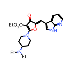 CCOC(=O)C1=C(N2CCC(N(CC)CC)CC2)OC(=Cc2c[nH]c3ncccc23)C1=O